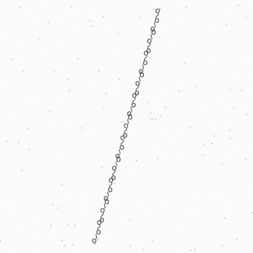 COCCOCCOOCCOCCOOCCOCCOOCCOCCOOCCOCCOOCCOCCOOCCOCCOOCCOCCOOCCOCCOOCCOCCOOCCOCCOC